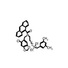 CC[N+](CC)(CCCCN(Cc1cc2c(cc1Cl)OCO2)C(=O)c1c2ccccc2cc2ccccc12)Cc1cc(C)cc(C)c1